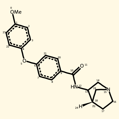 COc1ccc(Oc2ccc(C(=O)NC3CN4CC[C@H]3C4)cc2)cc1